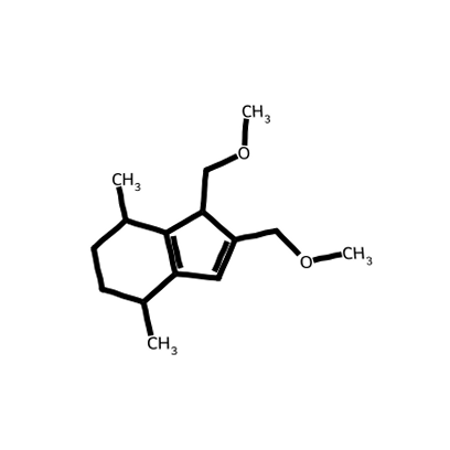 COCC1=CC2=C(C(C)CCC2C)C1COC